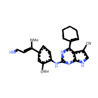 CN/C(=C\C=N)c1ccc(Nc2nc(C3=CCCCC3)c3c(C#N)c[nH]c3n2)c(OC)c1